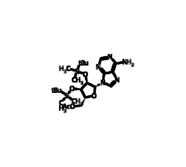 CC(=O)OC[C@H]1O[C@@H](n2cnc3c(N)ncnc32)[C@H](O[Si](C)(C)C(C)(C)C)[C@@H]1O[Si](C)(C)C(C)(C)C